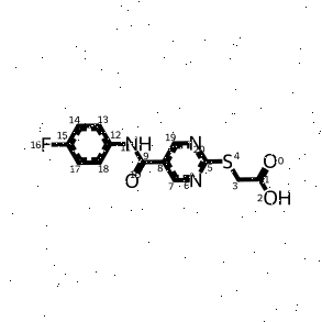 O=C(O)CSc1ncc(C(=O)Nc2ccc(F)cc2)cn1